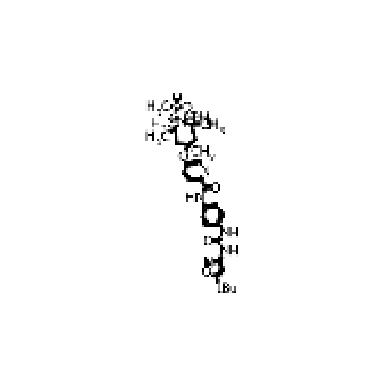 CC1(Oc2ccc(C(=O)Nc3ccc(NC(=O)Nc4cc(C(C)(C)C)on4)cc3)nc2)CC(C)(C)[N+](C)(OS(C)(=O)=O)C(C)(C)C1